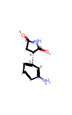 Nc1cccc([C@@H]2CC(=O)NC2=O)c1